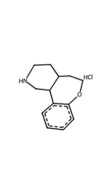 Cl.c1ccc2c(c1)OCCC1CCNCC21